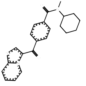 CC(C)N(C(=O)c1ccc(C(=O)c2cnc3ccccn23)cc1)C1CCCCC1